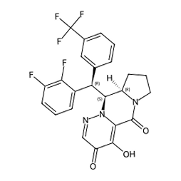 O=C1c2c(O)c(=O)cnn2[C@@H]([C@H](c2cccc(C(F)(F)F)c2)c2cccc(F)c2F)[C@H]2CCCN12